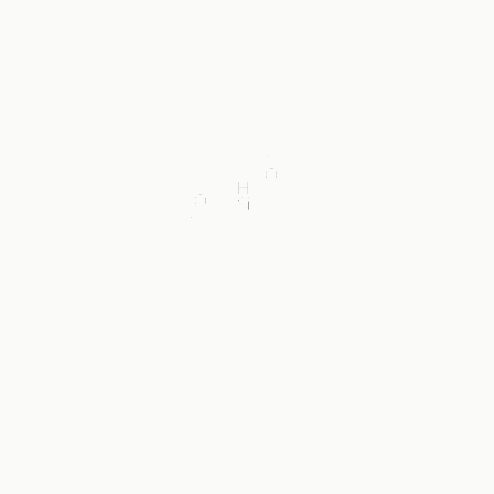 CCO[SiH](OCC)C(C)C(C)CC